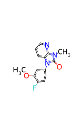 COc1cc(-n2c(=O)n(C)c3ncccc32)ccc1F